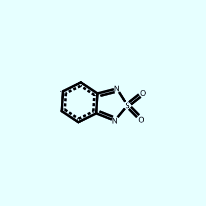 O=S1(=O)N=c2c[c]ccc2=N1